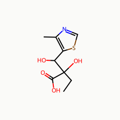 CCC(O)(C(=O)O)C(O)c1scnc1C